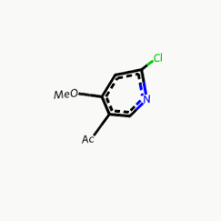 COc1cc(Cl)ncc1C(C)=O